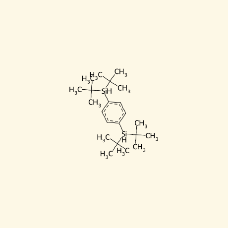 CC(C)(C)[SiH](c1ccc([SiH](C(C)(C)C)C(C)(C)C)cc1)C(C)(C)C